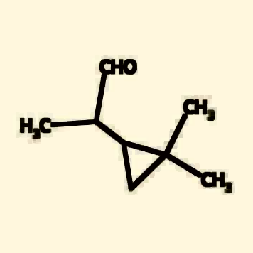 CC(C=O)C1CC1(C)C